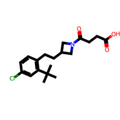 CC(C)(C)c1cc(Cl)ccc1CCC1CN(C(=O)CCC(=O)O)C1